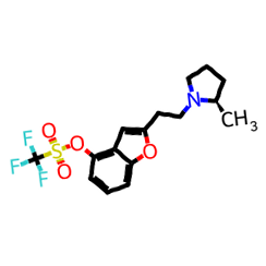 C[C@@H]1CCCN1CCc1cc2c(OS(=O)(=O)C(F)(F)F)cccc2o1